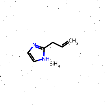 C=CCc1ncc[nH]1.[SiH4]